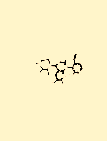 C=Cc1ccnc(C(C)C)c1-n1c(=O)nc(N2CCN(C(=O)O)C(C(C)(C)C)C2C)c2cc(F)c(Cl)nc21